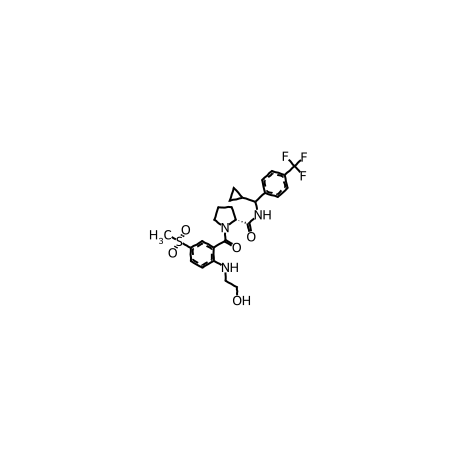 CS(=O)(=O)c1ccc(NCCO)c(C(=O)N2CCC[C@@H]2C(=O)NC(c2ccc(C(F)(F)F)cc2)C2CC2)c1